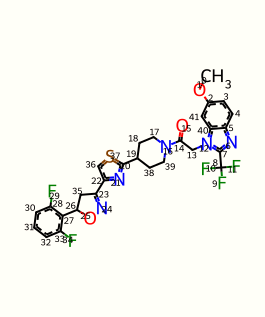 COc1ccc2nc(C(F)(F)F)n(CC(=O)N3CCC(c4nc(C5=NOC(c6c(F)cccc6F)C5)cs4)CC3)c2c1